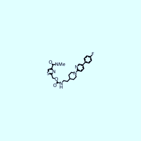 CNC(=O)c1csc(COC(=O)NCCC2CCN(c3ccc(-c4ccc(F)cc4)cn3)CC2)n1